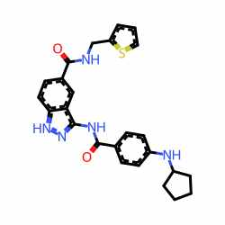 O=C(NCc1cccs1)c1ccc2[nH]nc(NC(=O)c3ccc(NC4CCCC4)cc3)c2c1